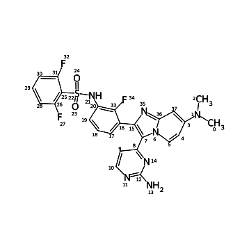 CN(C)c1ccn2c(-c3ccnc(N)n3)c(-c3cccc(NS(=O)(=O)c4c(F)cccc4F)c3F)nc2c1